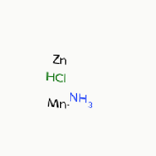 Cl.N.[Mn].[Zn]